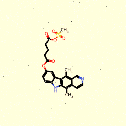 Cc1c2ccncc2c(C)c2c1[nH]c1ccc(OC(=O)CCCC(=O)OS(C)(=O)=O)cc12